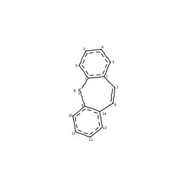 C1=Cc2ccccc2Sc2ccccc21